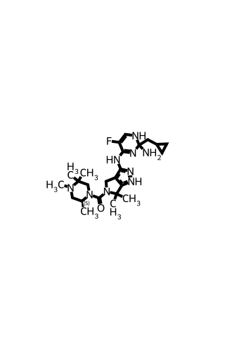 C[C@H]1CN(C)C(C)(C)CN1C(=O)N1Cc2c(NC3=NC(N)(CC4CC4)NC=C3F)n[nH]c2C1(C)C